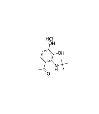 CC(=O)c1ccc(O)c(O)c1NC(C)(C)C.Cl